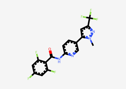 Cn1nc(C(F)(F)F)cc1-c1ccc(NC(=O)c2c(F)cc(F)cc2F)nc1